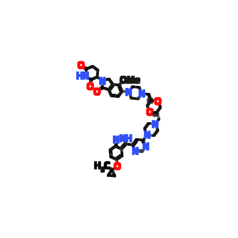 COc1c(N2CCN(C[C@@H]3CO[C@@H](CN4CCN(c5cc(-c6[nH]nc7ccc(OC8(C)CC8)cc67)ncn5)CC4)CO3)CC2)ccc2c1CN(C1CCC(=O)NC1=O)C2=O